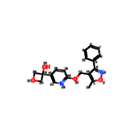 Cc1onc(-c2ccccc2)c1COc1ccc(C2(O)COC2)cn1